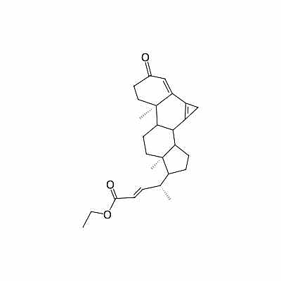 CCOC(=O)/C=C/[C@@H](C)C1CCC2C3C4=C(C4)C4=CC(=O)CC[C@]4(C)C3CC[C@@]21C